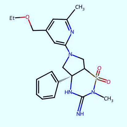 CCOCc1cc(C)nc(N2CC3[C@](c4ccccc4)(C2)NC(=N)N(C)S3(=O)=O)c1